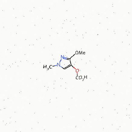 COc1nn(C)cc1OC(=O)O